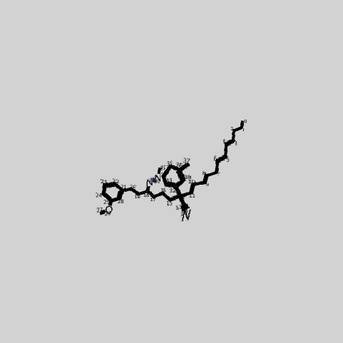 CCCCCCCCCCCCC(C#N)(CCCC(CCc1cccc(OC)c1)/N=N/C)c1cccc(C)c1